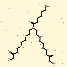 CCCCCCCCCCCCCCCC(=O)N(CCOCCOCCC(=O)CO)CCOCCOCCC(=O)CO